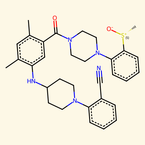 Cc1cc(C)c(C(=O)N2CCN(c3ccccc3[S@@+](C)[O-])CC2)cc1NC1CCN(c2ccccc2C#N)CC1